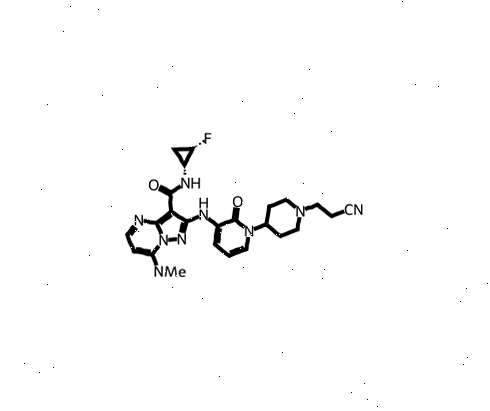 CNc1ccnc2c(C(=O)N[C@@H]3C[C@@H]3F)c(Nc3cccn(C4CCN(CCC#N)CC4)c3=O)nn12